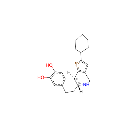 Oc1cc2c(cc1O)[C@H]1c3sc(C4CCCCC4)cc3CN[C@@H]1CC2